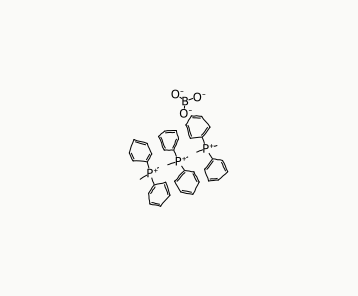 C[P+](C)(c1ccccc1)c1ccccc1.C[P+](C)(c1ccccc1)c1ccccc1.C[P+](C)(c1ccccc1)c1ccccc1.[O-]B([O-])[O-]